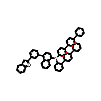 c1ccc(-c2ccc(-c3ccc(N(c4ccccc4-c4ccc(-c5ccccc5)cc4)c4ccc(-c5cccc(-c6cc7ccccc7o6)c5)c5ccccc45)cc3)cc2)cc1